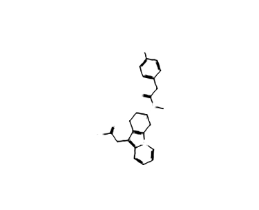 CN(C(=O)Cc1ccc(F)cc1)[C@H]1CCc2c(CC(=O)O)c3ccccn3c2C1